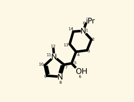 CC(C)N1CCC(C(O)c2nccn2C)CC1